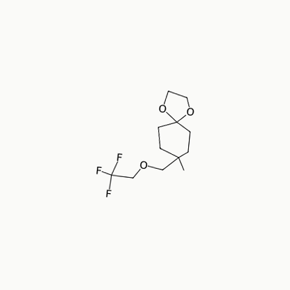 CC1(COCC(F)(F)F)CCC2(CC1)OCCO2